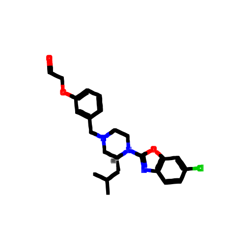 CC(C)C[C@@H]1CN(Cc2cccc(OCC=O)c2)CCN1c1nc2ccc(Cl)cc2o1